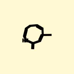 C=C1/C=C(C)\C=C/C/C=C\N1